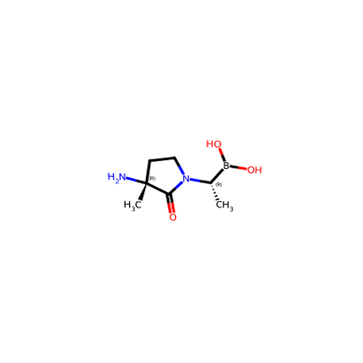 C[C@@H](B(O)O)N1CC[C@@](C)(N)C1=O